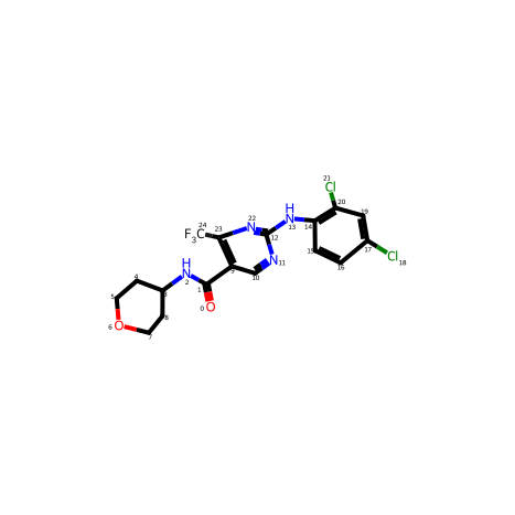 O=C(NC1CCOCC1)c1cnc(Nc2ccc(Cl)cc2Cl)nc1C(F)(F)F